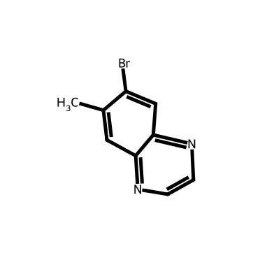 Cc1cc2nccnc2cc1Br